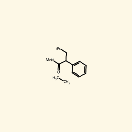 CC.CNC(=O)C(CC(C)C)c1ccccc1